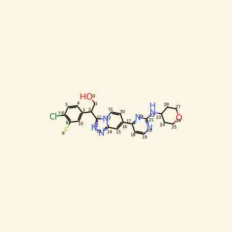 OCC(c1ccc(Cl)c(F)c1)c1nnc2cc(-c3ccnc(NC4CCOCC4)n3)ccn12